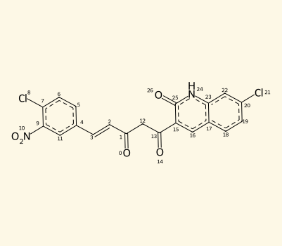 O=C(/C=C/c1ccc(Cl)c([N+](=O)[O-])c1)CC(=O)c1cc2ccc(Cl)cc2[nH]c1=O